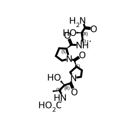 C[C@H](NC(=O)[C@@H]1CCCN1C(=O)[C@H]1CCN(C(=O)[C@H](O)[C@H](C)NC(=O)O)C1)[C@@H](O)C(N)=O